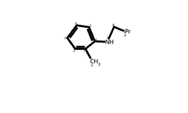 Cc1ccccc1NCC(C)C